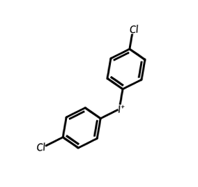 Clc1ccc([I+]c2ccc(Cl)cc2)cc1